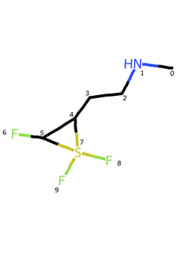 CNCCC1C(F)S1(F)F